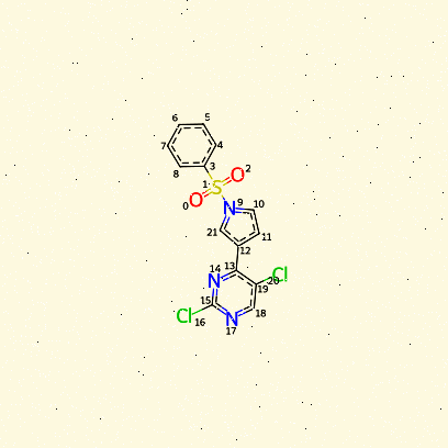 O=S(=O)(c1ccccc1)n1ccc(-c2nc(Cl)ncc2Cl)c1